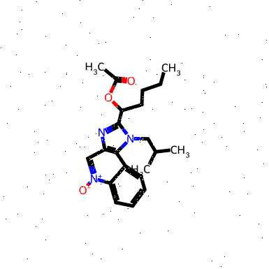 CCCCC(OC(C)=O)c1nc2c[n+]([O-])c3ccccc3c2n1CC(C)C